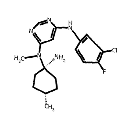 CN(c1cc(Nc2ccc(F)c(Cl)c2)ncn1)[C@]1(N)CC[C@@H](C)CC1